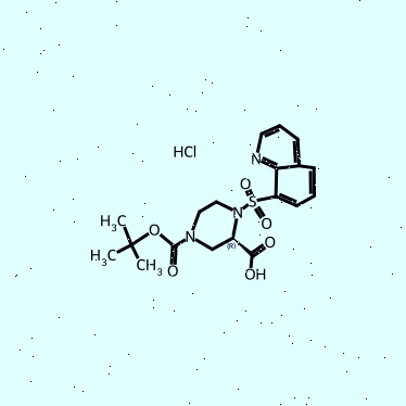 CC(C)(C)OC(=O)N1CCN(S(=O)(=O)c2cccc3cccnc23)[C@@H](C(=O)O)C1.Cl